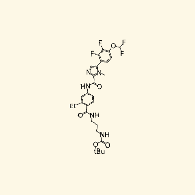 CCc1cc(NC(=O)c2ncc(-c3ccc(OC(F)F)c(F)c3F)n2C)ccc1C(=O)NCCCNC(=O)OC(C)(C)C